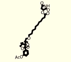 CC(=O)Oc1cccc(C23OCC(C)(C)C2(C(C)(C)COCCCCCCCCCCC(=O)OC2CC(=O)NC2=O)OO3)c1